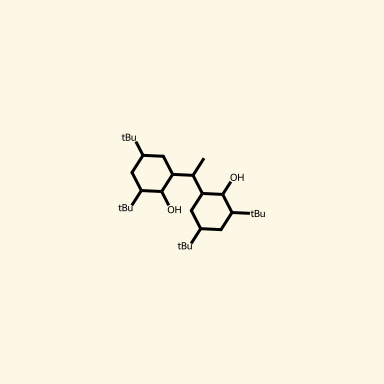 CC(C1CC(C(C)(C)C)CC(C(C)(C)C)C1O)C1CC(C(C)(C)C)CC(C(C)(C)C)C1O